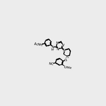 COc1cc(C#N)ccc1O[C@H]1CCCN(c2ncnc(Nc3cccc(NC(C)=O)c3)n2)C1